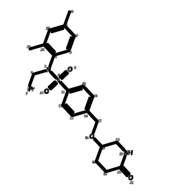 Cc1ccc(N(CC(C)C)S(=O)(=O)c2ccc(COC3CCC(=O)NC3)cc2)c(C)c1